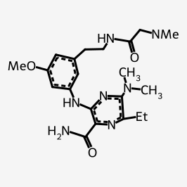 CCc1nc(C(N)=O)c(Nc2cc(CCNC(=O)CNC)cc(OC)c2)nc1N(C)C